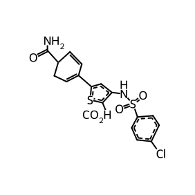 NC(=O)C1C=CC(c2cc(NS(=O)(=O)c3ccc(Cl)cc3)c(C(=O)O)s2)=CC1